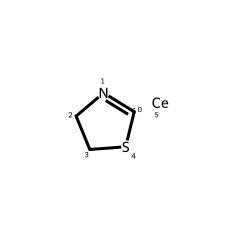 [C]1=NCCS1.[Ce]